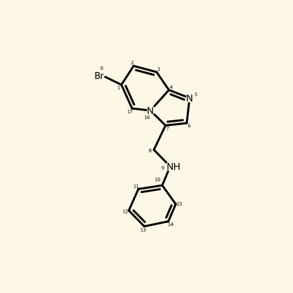 Brc1ccc2ncc(CNc3ccccc3)n2c1